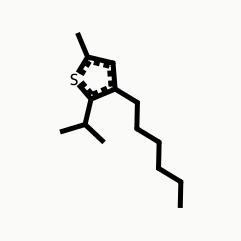 CCCCCCc1cc(C)sc1C(C)C